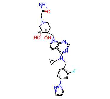 NC(=O)CN1CC[C@@](O)(Cn2ccc3c(N(Cc4ccc(-n5cccn5)cc4F)C4CC4)ncnc32)[C@H](O)C1